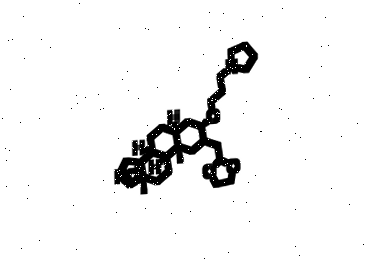 C[C@]12CC(CC3OCCO3)[C@H](OCCCN3CCCC3)C[C@H]1CC[C@@H]1[C@@H]2CC[C@]2(C)CCC[C@]12O